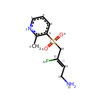 Cc1ncccc1S(=O)(=O)C/C(F)=C/CN